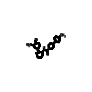 Cc1ccc(C2CCN(C(=O)Nc3ccccc3N3CCN(C(C)C)[C@H](C)C3)CC2)cc1